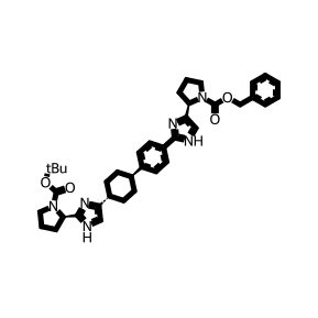 CC(C)(C)OC(=O)N1CCC[C@@H]1c1nc([C@H]2CC[C@H](c3ccc(-c4nc([C@H]5CCCN5C(=O)OCc5ccccc5)c[nH]4)cc3)CC2)c[nH]1